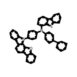 c1ccc(-c2ccc(N(c3ccc(-n4c5ccccc5c5ccc6c7ccccc7oc6c54)cc3)c3cccc4c3sc3ccccc34)cc2)cc1